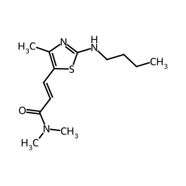 CCCCNc1nc(C)c(C=CC(=O)N(C)C)s1